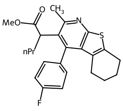 CCCC(C(=O)OC)c1c(C)nc2sc3c(c2c1-c1ccc(F)cc1)CCCC3